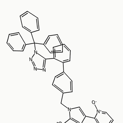 CCCCc1nc(-c2cccc[n+]2[O-])cn1Cc1ccc(-c2ccccc2-c2nnnn2C(c2ccccc2)(c2ccccc2)c2ccccc2)cc1